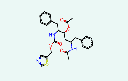 CC(=O)NC(Cc1ccccc1)CC(OC(C)=O)[C@H](Cc1ccccc1)NC(=O)OCc1cncs1